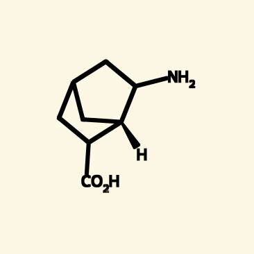 NC1CC2CC(C(=O)O)[C@@H]1C2